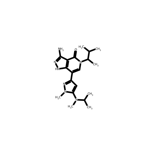 CC(C)C(C)n1cc(-c2cc(N(C)C(C)C)n(C)n2)c2[nH]nc(N)c2c1=O